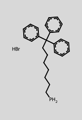 Br.PCCCCCCCC(c1ccccc1)(c1ccccc1)c1ccccc1